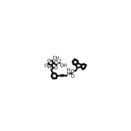 C[C@H]1OC(=O)[C@@H]2C(Cc3cccc(C#CCNC(=O)OCC4c5ccccc5-c5ccccc54)c3)O[C@H](CO)[C@@H]21